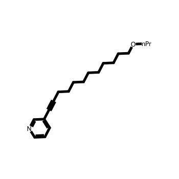 CCCOCCCCCCCCCCC#Cc1cccnc1